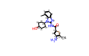 Cc1cccc2nc(NC(=O)c3cc(N)c(C#N)s3)n(C3CCC(O)CC3)c12